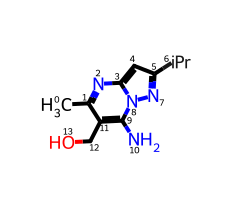 Cc1nc2cc(C(C)C)nn2c(N)c1CO